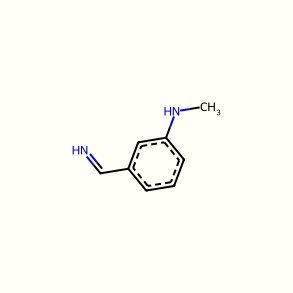 CNc1cccc(C=N)c1